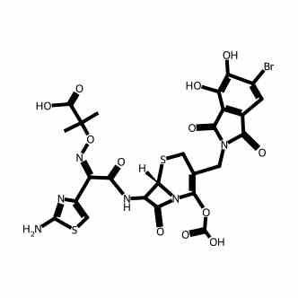 CC(C)(O/N=C(\C(=O)NC1C(=O)N2C(OC(=O)O)=C(CN3C(=O)c4cc(Br)c(O)c(O)c4C3=O)CS[C@@H]12)c1csc(N)n1)C(=O)O